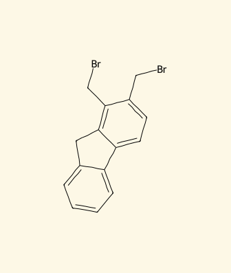 BrCc1ccc2c(c1CBr)Cc1ccccc1-2